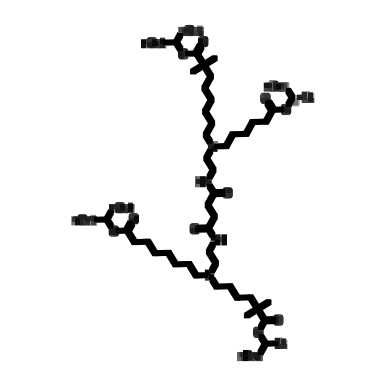 CCCCCCCCCCC(CC)OC(=O)C(C)(C)CCCCN(CCCCCCCC(=O)OC(CCCCCCCC)CCCCCCCC)CCNC(=O)CCC(=O)NCCN(CCCCCCC(C)(C)C(=O)OC(CCCCCCCC)CCCCCCCC)CCCCCC(=O)O[C@@H](CC)CCCCCCCCCC